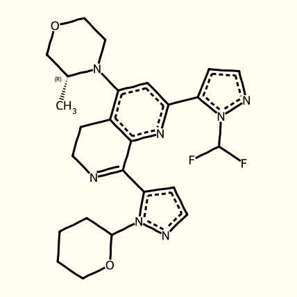 C[C@@H]1COCCN1c1cc(-c2ccnn2C(F)F)nc2c1CCN=C2c1ccnn1C1CCCCO1